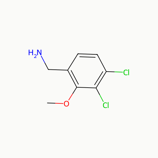 COc1c(CN)ccc(Cl)c1Cl